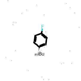 CC[C@@H](C)c1ccc(F)cc1